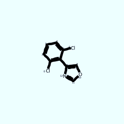 Clc1cccc(Cl)c1-c1co[c]n1